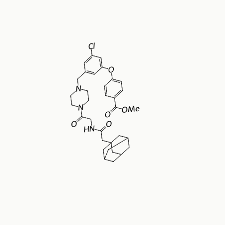 COC(=O)c1ccc(Oc2cc(Cl)cc(CN3CCN(C(=O)CNC(=O)CC45CC6CC(CC(C6)C4)C5)CC3)c2)cc1